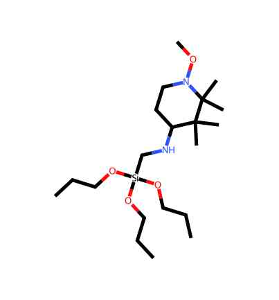 CCCO[Si](CNC1CCN(OC)C(C)(C)C1(C)C)(OCCC)OCCC